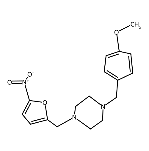 COc1ccc(CN2CCN(Cc3ccc([N+](=O)[O-])o3)CC2)cc1